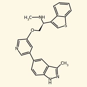 CN[C@H](COc1cncc(-c2ccc3[nH]nc(C)c3c2)c1)c1csc2ccccc12